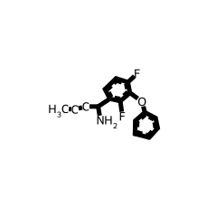 CCCC(N)c1ccc(F)c(Oc2ccccc2)c1F